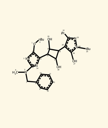 CCCCOc1nc(N(C)Cc2ccccc2)sc1C1C(O)C(c2c(C(C)C)nn(C(C)(C)C)c2O)C1O